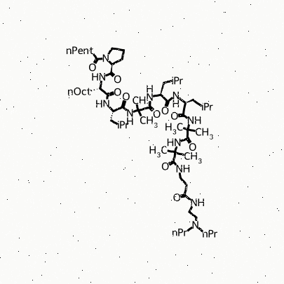 CCCCCCCC[C@H](NC(=O)[C@@H]1CCCN1C(=O)CCCCC)C(=O)N[C@@H](CC(C)C)C(=O)NC(C)(C)C(=O)N[C@@H](CC(C)C)C(=O)N[C@@H](CC(C)C)C(=O)NC(C)(C)C(=O)NC(C)(C)C(=O)NCCC(=O)NCCN(CCC)CCC